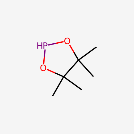 CC1(C)OPOC1(C)C